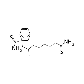 CC(CCCCCC(N)=S)CC1(C(N)=S)CC2C=CC1C2